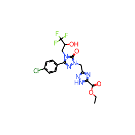 CCOC(=O)c1nc(Cn2nc(-c3ccc(Cl)cc3)n(CC(O)C(F)(F)F)c2=O)n[nH]1